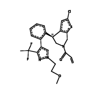 C=CC(=O)N1Cc2sc(Cl)cc2[C@H](c2ccccc2-c2cn(CCOC)nc2C(C)(F)F)C1